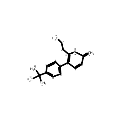 C=C1C=CC(c2ccc(C(C)(C)C)cc2)=C(CCC)N1